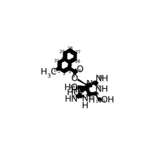 Cc1cc(C(=O)O[C@H]2CN3C(=N)N[C@@H](CO)[C@@H]4NC(=N)N[C@@]43C2(O)O)c2ccccc2c1